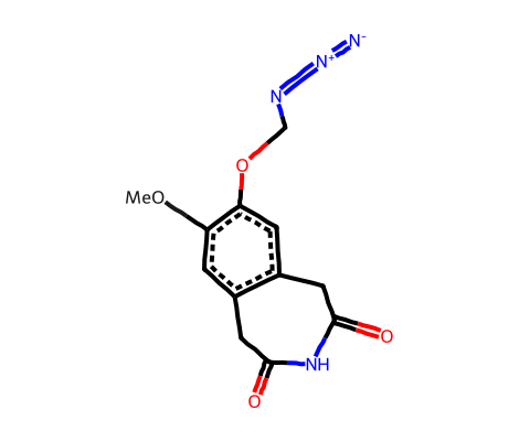 COc1cc2c(cc1OCN=[N+]=[N-])CC(=O)NC(=O)C2